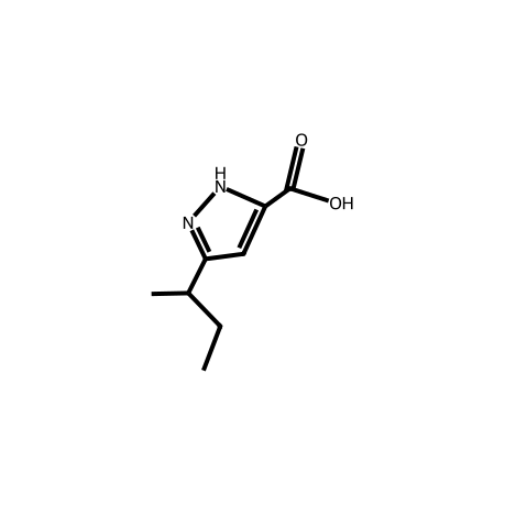 CCC(C)c1cc(C(=O)O)[nH]n1